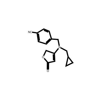 N#Cc1ccc(CN(CC2CC2)C2=CC(=O)OC2)cc1